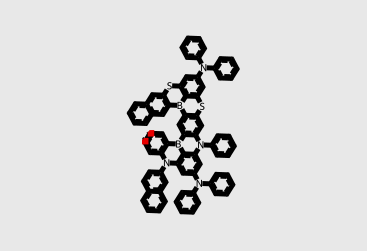 c1ccc(N(c2ccccc2)c2cc3c4c(c2)Sc2cc5ccccc5cc2B4c2cc4c(cc2S3)N(c2ccccc2)c2cc(N(c3ccccc3)c3ccccc3)cc3c2B4c2cc4ccccc4cc2N3c2ccc3ccccc3c2)cc1